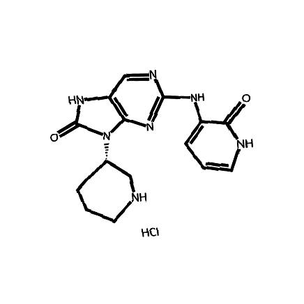 Cl.O=c1[nH]cccc1Nc1ncc2[nH]c(=O)n([C@H]3CCCNC3)c2n1